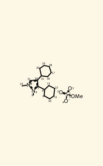 COS(=O)(=O)[O-].Cn1c(C2CCCCC2)c(C2CCCCC2)c[n+]1C